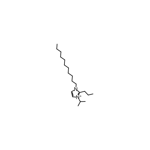 CCCCCCCCCCCn1cc[n+](C(C)C)c1CCC